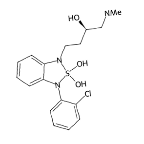 CNC[C@H](O)CCN1c2ccccc2N(c2ccccc2Cl)S1(O)O